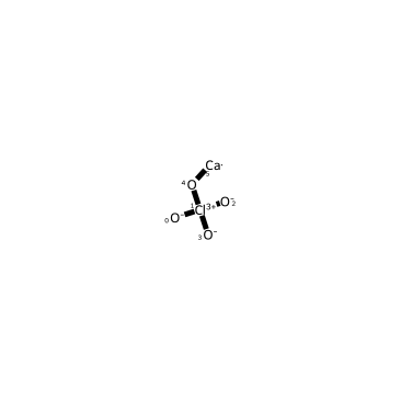 [O-][Cl+3]([O-])([O-])[O][Ca]